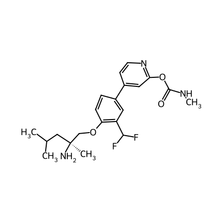 CNC(=O)Oc1cc(-c2ccc(OC[C@@](C)(N)CC(C)C)c(C(F)F)c2)ccn1